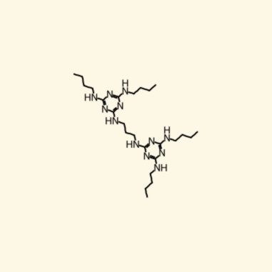 CCCCNc1nc(NCCCC)nc(NCCCNc2nc(NCCCC)nc(NCCCC)n2)n1